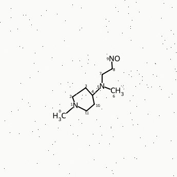 CN1CCC(N(C)CCN=O)CC1